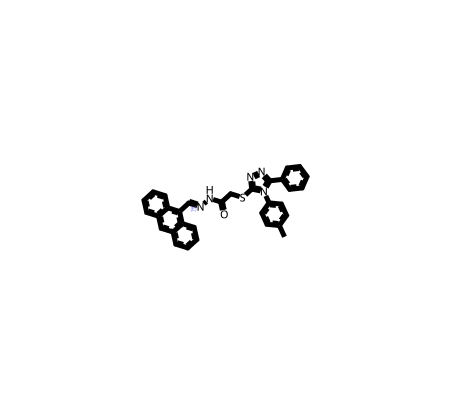 Cc1ccc(-n2c(SCC(=O)N/N=C/c3c4ccccc4cc4ccccc34)nnc2-c2ccccc2)cc1